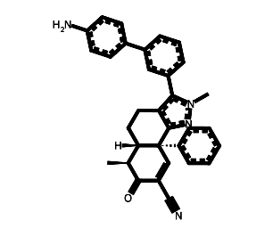 C[C@@H]1C(=O)C(C#N)=C[C@]2(c3ccccc3)c3nn(C)c(-c4cccc(-c5ccc(N)cc5)c4)c3CC[C@@H]12